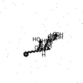 CC(C)C[C@H](NC(=O)CN(CCCCCCc1ccccc1)C(=O)CCOC(C)(C)CO)C(=O)NCC(=O)N[C@@H](CO)C(=O)NC[C@@H](C)OP(=O)(O)O